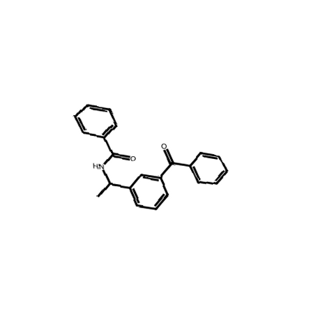 CC(NC(=O)c1ccccc1)c1cccc(C(=O)c2ccccc2)c1